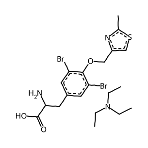 CCN(CC)CC.Cc1nc(COc2c(Br)cc(CC(N)C(=O)O)cc2Br)cs1